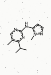 Cc1cnc(Nc2ccnn2C)nc1C(C)C